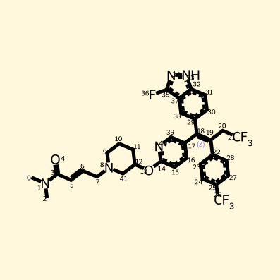 CN(C)C(=O)C=CCN1CCCC(Oc2ccc(/C(=C(/CC(F)(F)F)c3ccc(C(F)(F)F)cc3)c3ccc4[nH]nc(F)c4c3)cn2)C1